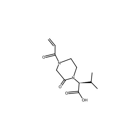 C=CC(=O)N1CCN([C@H](C(=O)O)C(C)C)C(=O)C1